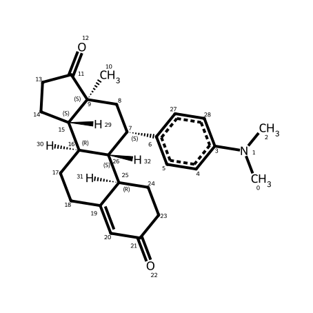 CN(C)c1ccc([C@H]2C[C@]3(C)C(=O)CC[C@H]3[C@@H]3CCC4=CC(=O)CC[C@@H]4[C@H]32)cc1